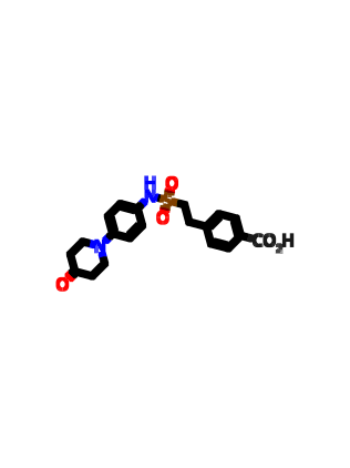 O=C1CCN(c2ccc(NS(=O)(=O)CCc3ccc(C(=O)O)cc3)cc2)CC1